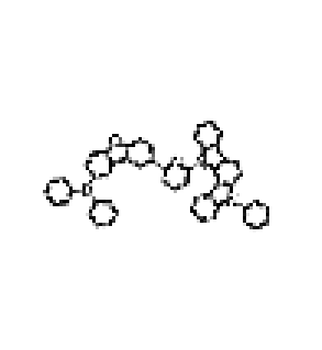 c1ccc(B(c2ccccc2)c2ccc3oc4ccc(-c5cccc(-n6c7ccccc7c7ccc8c(c9ccccc9n8-c8ccccc8)c76)n5)cc4c3c2)cc1